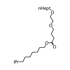 CCCCCCCOCCOCCCC(=O)OCCCCCCCC(C)C